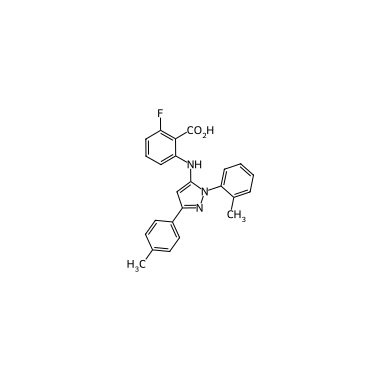 Cc1ccc(-c2cc(Nc3cccc(F)c3C(=O)O)n(-c3ccccc3C)n2)cc1